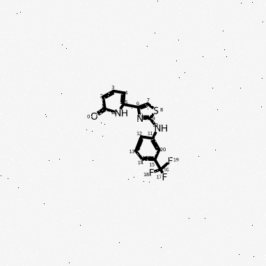 O=c1cccc(-c2csc(Nc3cccc(C(F)(F)F)c3)n2)[nH]1